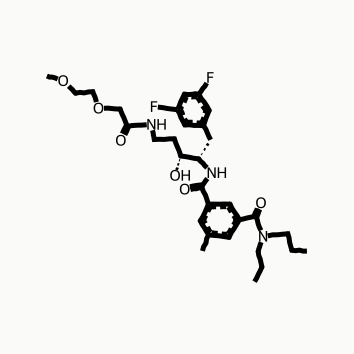 CCCN(CCC)C(=O)c1cc(C)cc(C(=O)N[C@@H](Cc2cc(F)cc(F)c2)[C@H](O)CCNC(=O)COCCOC)c1